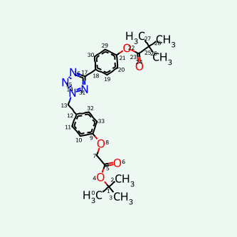 CC(C)(C)OC(=O)COc1ccc(Cn2nnc(-c3ccc(OC(=O)C(C)(C)C)cc3)n2)cc1